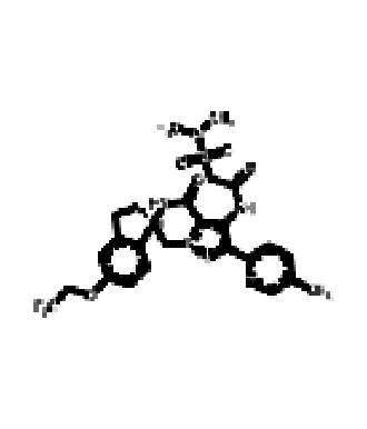 Cc1ccc(-c2nn3c(c2NC(=O)CS(=O)(=O)N(C)C)C(=O)N[C@@]2(CCc4cc(OCC(F)(F)F)ccc42)C3)nc1